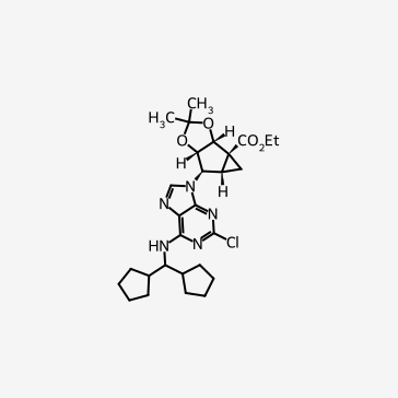 CCOC(=O)[C@@]12C[C@@H]1[C@@H](n1cnc3c(NC(C4CCCC4)C4CCCC4)nc(Cl)nc31)[C@@H]1OC(C)(C)O[C@@H]12